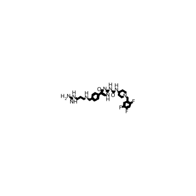 N=C(N)NCCCNCc1ccc(-c2c[nH]c(NC(=O)NC3CCN(Cc4cc(F)c(F)cc4F)CC3)nc2=O)cc1